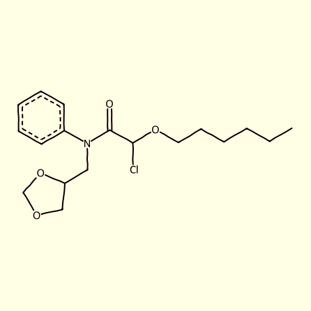 CCCCCCOC(Cl)C(=O)N(CC1COCO1)c1ccccc1